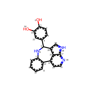 Oc1ccc(C2Nc3ccccc3-c3ccnc4[nH]cc2c34)cc1O